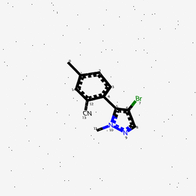 Cc1ccc(-c2c(Br)cnn2C)c(C#N)c1